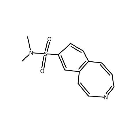 CN(C)S(=O)(=O)c1ccc2c(c1)C=CN=CC=C2